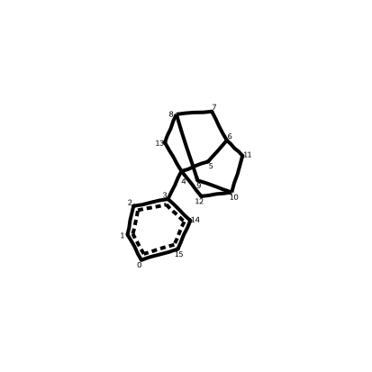 c1ccc(C23CC4CC(CC(C4)C2)C3)cc1